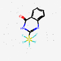 O=c1[nH]c(S(F)(F)(F)(F)F)nc2ccccc12